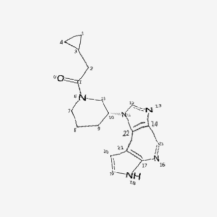 O=C(CC1CC1)N1CCC[C@@H](n2cnc3cnc4[nH]ccc4c32)C1